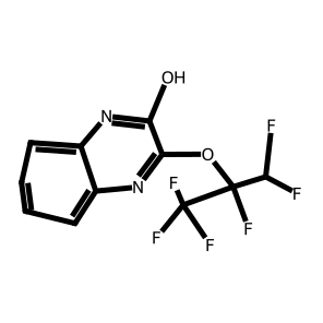 Oc1nc2ccccc2nc1OC(F)(C(F)F)C(F)(F)F